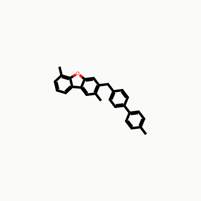 Cc1ccc(-c2ccc(Cc3cc4oc5c(C)cccc5c4cc3C)cc2)cc1